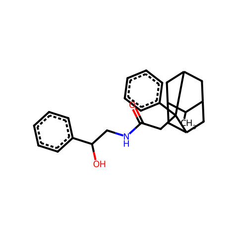 CC1C2CC3CC1CC(C2)C3(CC(=O)NCC(O)c1ccccc1)c1ccccc1